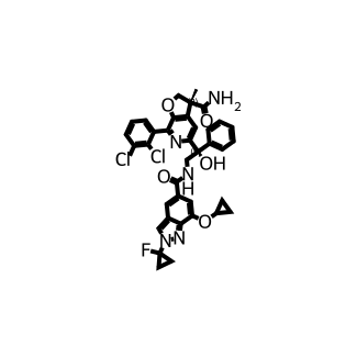 C[C@]1(C(N)=O)COc2c1cc([C@@](O)(CNC(=O)c1cc(OC3CC3)c3nn(C4(F)CC4)cc3c1)c1ccccc1)nc2-c1cccc(Cl)c1Cl